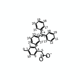 Cc1ccc(CC(=O)[O-])cc1.c1ccc([S+](c2ccccc2)c2ccccc2)cc1